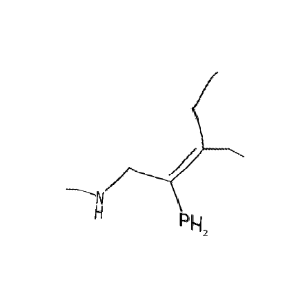 CC/C(C)=C(/P)CNC